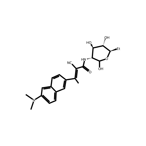 CC[C@H]1OC(O)[C@H](NC(=O)/C(C#N)=C(\C)c2ccc3cc(N(C)C)ccc3c2)[C@@H](O)[C@@H]1O